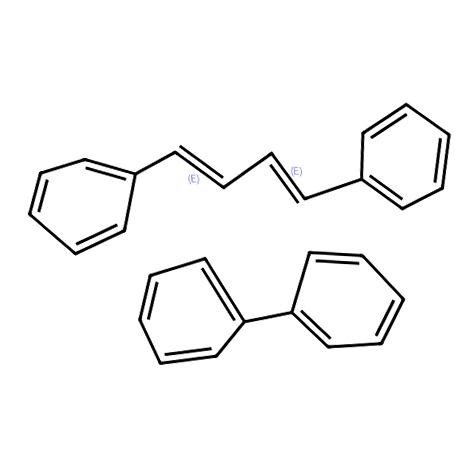 C(/C=C/c1ccccc1)=C\c1ccccc1.c1ccc(-c2ccccc2)cc1